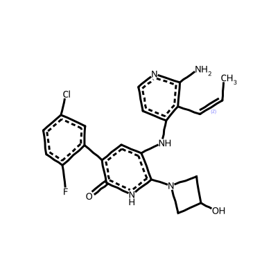 C/C=C\c1c(Nc2cc(-c3cc(Cl)ccc3F)c(=O)[nH]c2N2CC(O)C2)ccnc1N